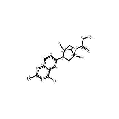 Cc1nc(Cl)c2cc(N3C[C@@H]4C[C@H]3CN4C(=O)OC(C)(C)C)ncc2n1